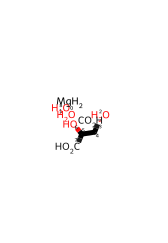 O.O.O.O=C(O)CC(O)C(=O)O.[MgH2]